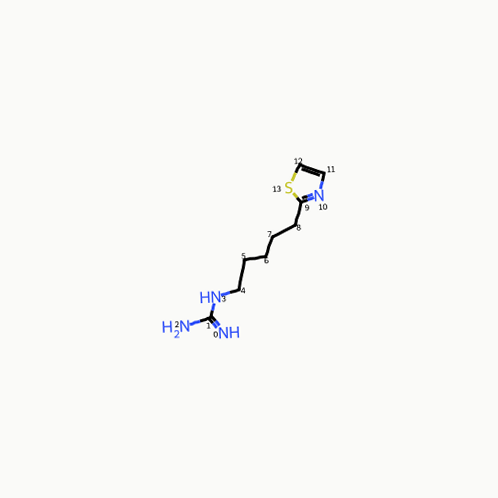 N=C(N)NCCCCCc1nccs1